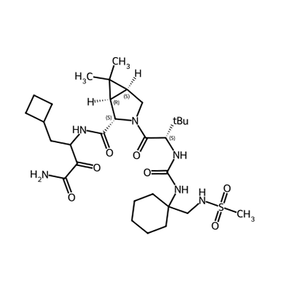 CC(C)(C)[C@H](NC(=O)NC1(CNS(C)(=O)=O)CCCCC1)C(=O)N1C[C@H]2[C@@H]([C@H]1C(=O)NC(CC1CCC1)C(=O)C(N)=O)C2(C)C